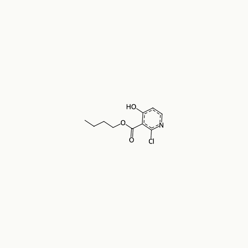 CCCCOC(=O)c1c(O)ccnc1Cl